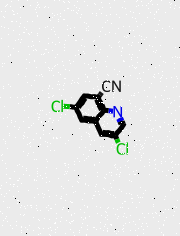 N#Cc1cc(Cl)cc2cc(Cl)cnc12